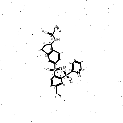 CC(C)c1ccc(S(=O)(=O)c2ccc3c(c2)CCC3NC(=O)C(F)(F)F)c(S(=O)(=O)c2ccccn2)c1